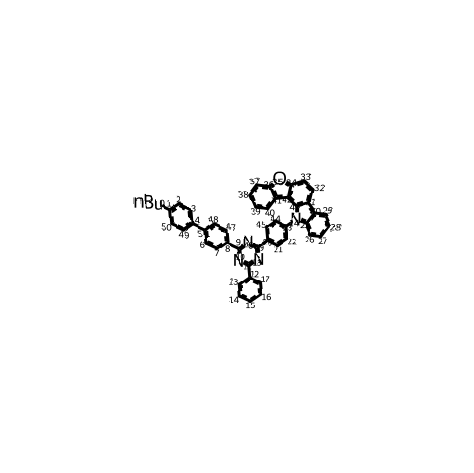 CCCCc1ccc(-c2ccc(-c3nc(-c4ccccc4)nc(-c4ccc(-n5c6ccccc6c6ccc7oc8ccccc8c7c65)cc4)n3)cc2)cc1